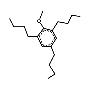 CCCCc1cc(CCCC)c(OC)c(CCCC)c1